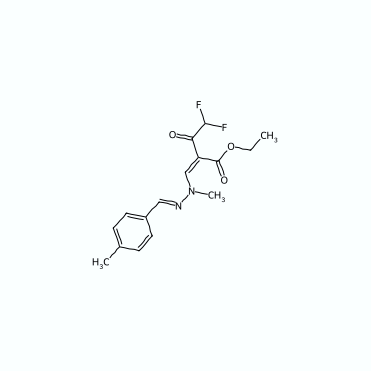 CCOC(=O)/C(=C\N(C)/N=C/c1ccc(C)cc1)C(=O)C(F)F